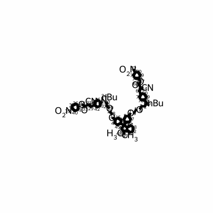 CCCCN(CCOCCOc1ccc(C2(c3ccc(OCCOCCN(CCCC)c4ccc(/C=C(\C#N)C(=O)Oc5ccc([N+](=O)[O-])cc5)cc4)cc3)CC(C)(C)c3ccccc32)cc1)c1ccc(/C=C(\C#N)C(=O)Oc2ccc([N+](=O)[O-])cc2)cc1